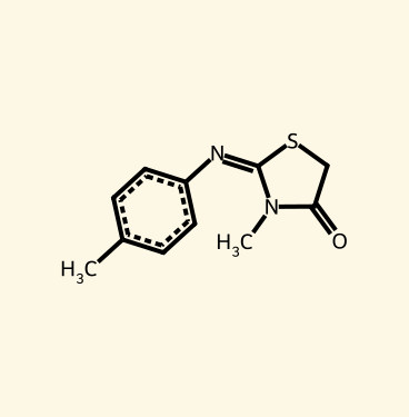 Cc1ccc(N=C2SCC(=O)N2C)cc1